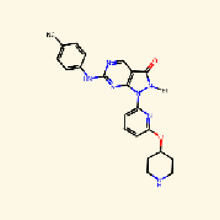 CCn1c(=O)c2cnc(Nc3ccc(C#N)cc3)nc2n1-c1cccc(OC2CCNCC2)n1